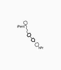 CCCC(C)C1(CCCCc2ccc(-c3ccc([C@H]4CC[C@H](CCC)CC4)cc3)cc2)CCCCC1